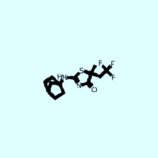 CC1(CC(F)(F)F)SC(NC23CCC(CC2)C3)=NC1=O